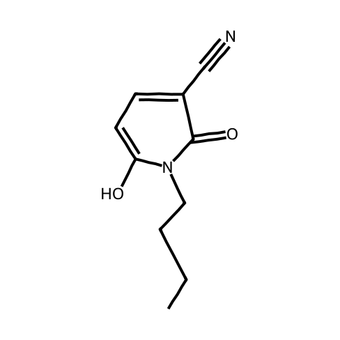 CCCCn1c(O)ccc(C#N)c1=O